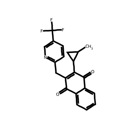 CC1CC1C1=C(Cc2ccc(C(F)(F)F)cn2)C(=O)c2ccccc2C1=O